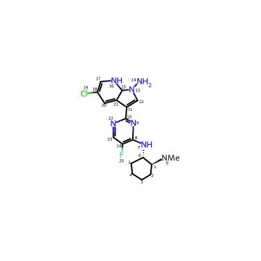 CN[C@H]1CCCC[C@@H]1Nc1nc(C2=CN(N)C3NC=C(Cl)C=C23)ncc1F